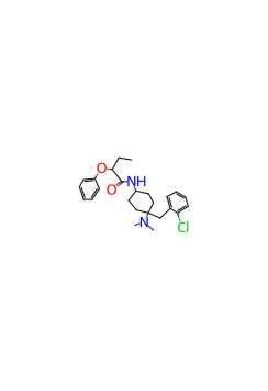 CCC(Oc1ccccc1)C(=O)NC1CCC(Cc2ccccc2Cl)(N(C)C)CC1